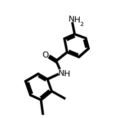 Cc1cccc(NC(=O)c2cccc(N)c2)c1C